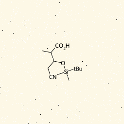 CC(C(=O)O)C(CC#N)O[Si](C)(C)C(C)(C)C